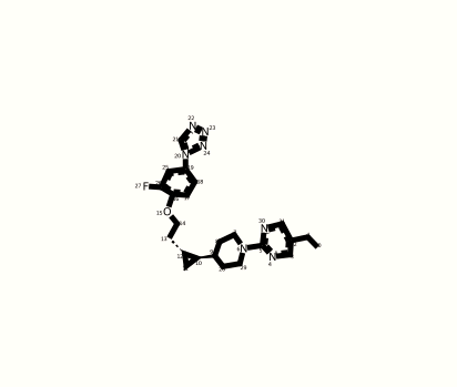 CCc1cnc(N2CCC([C@H]3C[C@@H]3CCOc3ccc(-n4cnnn4)cc3F)CC2)nc1